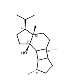 CC(C)[C@@H]1CC[C@@]2(O)C3C4C(CC[C@@H]4C)[C@]3(C)CC[C@@]12C